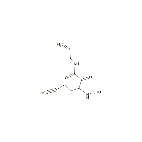 C#CCCC(NC=O)C(=O)C(=O)NCC=C